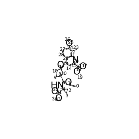 C=C[C@@H]1C[C@]1(NC(=O)[C@H]1CC[C@H](Oc2cc(C(=O)OC)nc3c(C)c(OC)ccc23)C1)C(=O)OC